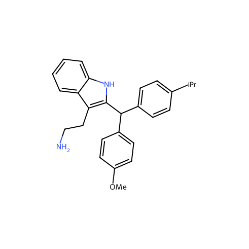 COc1ccc(C(c2ccc(C(C)C)cc2)c2[nH]c3ccccc3c2CCN)cc1